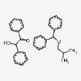 CC(C)COC(c1ccccc1)c1ccccc1.O=C(c1ccccc1)C(O)c1ccccc1